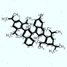 CC(C)c1cc(C(C)C)c(-c2cc3ccccc3c(-c3c(O)c(-c4c(C(C)C)cc(C(C)C)cc4C(C)C)cc4cc(Br)ccc34)c2O)c(C(C)C)c1